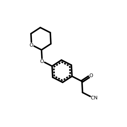 N#CCC(=O)c1ccc(OC2CCCCO2)cc1